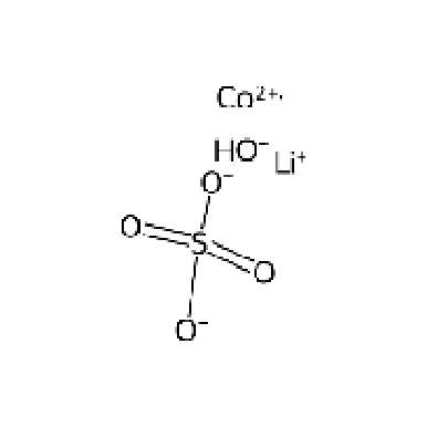 O=S(=O)([O-])[O-].[Co+2].[Li+].[OH-]